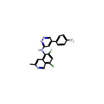 Cc1cc2c(Nc3cc(-c4ccc(C(F)(F)F)cc4)cnn3)c(F)cc(F)c2cn1